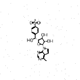 Cc1ncnc2c1ccn2[C@@H]1O[C@H](C(O)c2ccc(S(C)(=O)=O)cc2)[C@@H](O)[C@H]1O